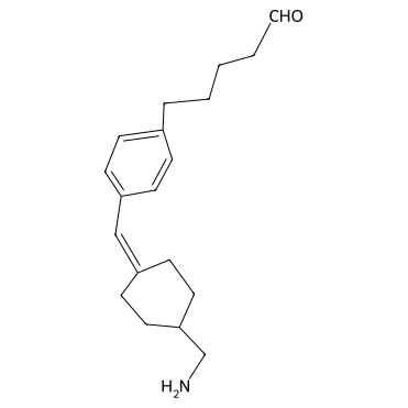 NCC1CCC(=Cc2ccc(CCCCC=O)cc2)CC1